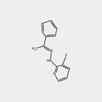 C/C(=N\Nc1ncccc1F)c1ccccc1